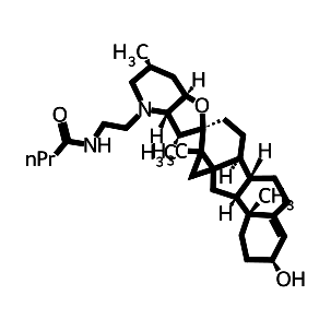 CCCC(=O)NCCN1C[C@@H](C)C[C@H]2O[C@]3(CC[C@H]4[C@@H]5CCC6=C[C@@H](O)CC[C@]6(C)[C@H]5CC45CC53C)[C@H](C)[C@@H]21